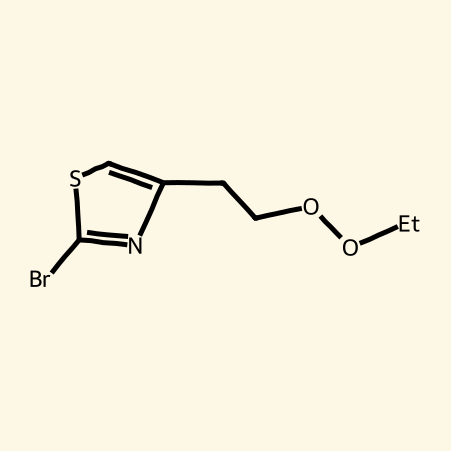 CCOOCCc1csc(Br)n1